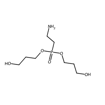 NCCP(=O)(OCCCO)OCCCO